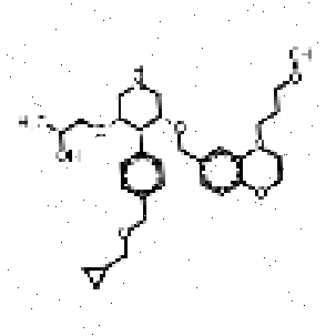 COCCCN1CCOc2ccc(CO[C@H]3CNC[C@@H](OC[C@H](C)O)[C@@H]3c3ccc(COCC4CC4)cc3)cc21